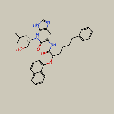 CC(C)C[C@@H](CO)NC(=O)[C@H](Cc1c[nH]cn1)NC(=O)C(CCCCc1ccccc1)Oc1cccc2ccccc12